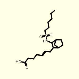 CCCCCCS(=O)(=O)NC1C2CCC(C2)C1CC=CCCCC(=O)O